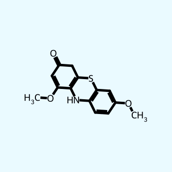 COC1=CC(=O)CC2=C1Nc1ccc(OC)cc1S2